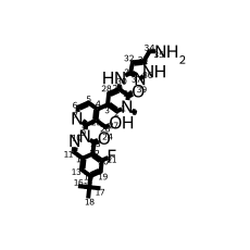 Cn1cc(-c2ccnc(-n3ncc4cc(C(C)(C)C)cc(F)c4c3=O)c2CO)cc(Nc2cc(CN)[nH]n2)c1=O